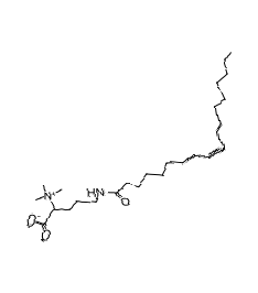 CCCCCCCC/C=C\CCCCCCCC(=O)NCCCC(C(=O)[O-])[N+](C)(C)C